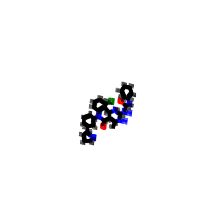 CC1=C(C(=O)Nc2cccc(C3=NCC=C3)c2)C(c2ccccc2Cl)N=C(Nc2nc3ccccc3o2)N1